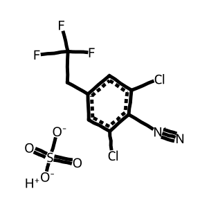 N#[N+]c1c(Cl)cc(CC(F)(F)F)cc1Cl.O=S(=O)([O-])[O-].[H+]